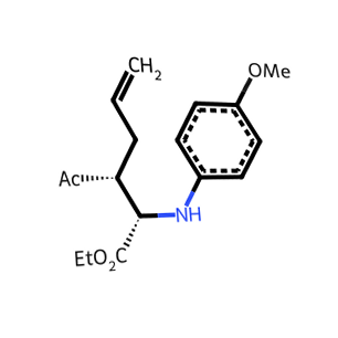 C=CC[C@@H](C(C)=O)[C@H](Nc1ccc(OC)cc1)C(=O)OCC